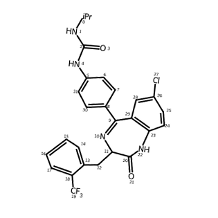 CC(C)NC(=O)Nc1ccc(C2=NC(Cc3ccccc3C(F)(F)F)C(=O)Nc3ccc(Cl)cc32)cc1